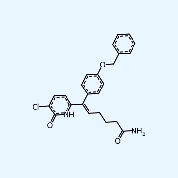 NC(=O)CCC/C=C(\c1ccc(OCc2ccccc2)cc1)c1ccc(Cl)c(=O)[nH]1